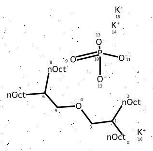 CCCCCCCCC(CCCCCCCC)COCC(CCCCCCCC)CCCCCCCC.O=P([O-])([O-])[O-].[K+].[K+].[K+]